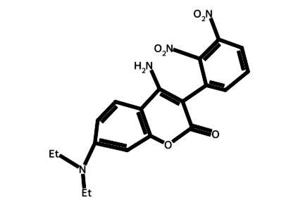 CCN(CC)c1ccc2c(N)c(-c3cccc([N+](=O)[O-])c3[N+](=O)[O-])c(=O)oc2c1